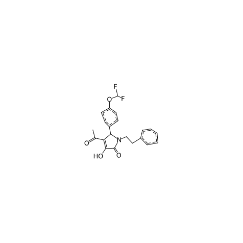 CC(=O)C1=C(O)C(=O)N(CCc2ccccc2)C1c1ccc(OC(F)F)cc1